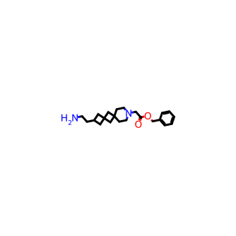 NCCC1CC2(C1)CC1(CCN(CC(=O)OCc3ccccc3)CC1)C2